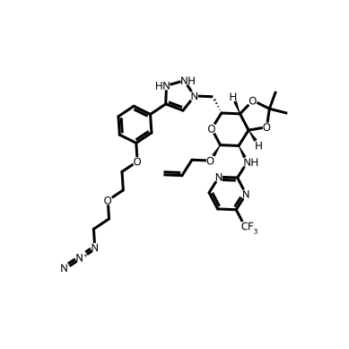 C=CCO[C@H]1O[C@H](CN2C=C(c3cccc(OCCOCCN=[N+]=[N-])c3)NN2)[C@@H]2OC(C)(C)O[C@@H]2[C@H]1Nc1nccc(C(F)(F)F)n1